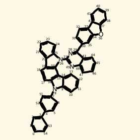 c1ccc(-c2ccc(-n3c4ccccc4c4c3ccc3c5ccccc5n(-c5nc(-c6ccc7c(c6)oc6ccccc67)c6ccccc6n5)c34)cc2)cc1